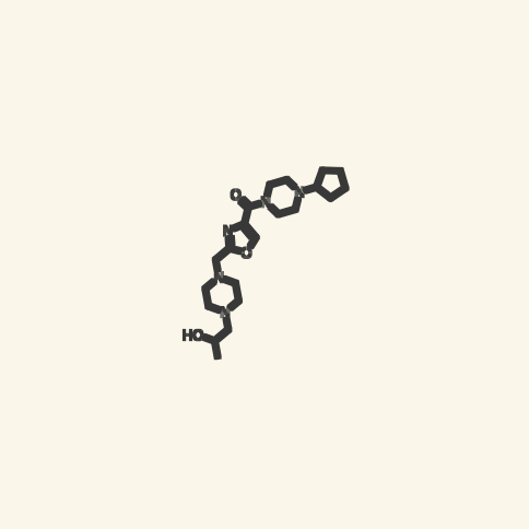 CC(O)CN1CCN(Cc2nc(C(=O)N3CCN(C4CCCC4)CC3)co2)CC1